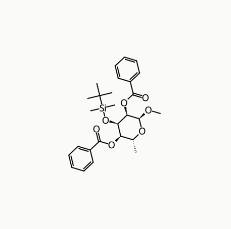 CO[C@H]1O[C@H](C)[C@@H](OC(=O)c2ccccc2)[C@@H](O[Si](C)(C)C(C)(C)C)[C@H]1OC(=O)c1ccccc1